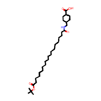 CC(C)(C)OC(=O)CCCCCCCCCCCCCCCCCCC(=O)NCC1CCC(C(=O)O)CC1